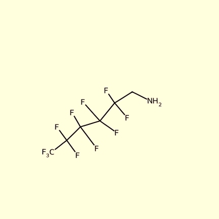 NCC(F)(F)C(F)(F)C(F)(F)C(F)(F)C(F)(F)F